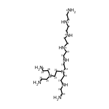 NCCNCCNCCNCCNCCN(CCNCCN)CCN(CCN)CCN